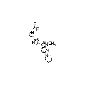 Cn1nc(-c2cnc(C3CCN(CC(F)F)C3)s2)c2ccc(N3CCCCCC3)nc21